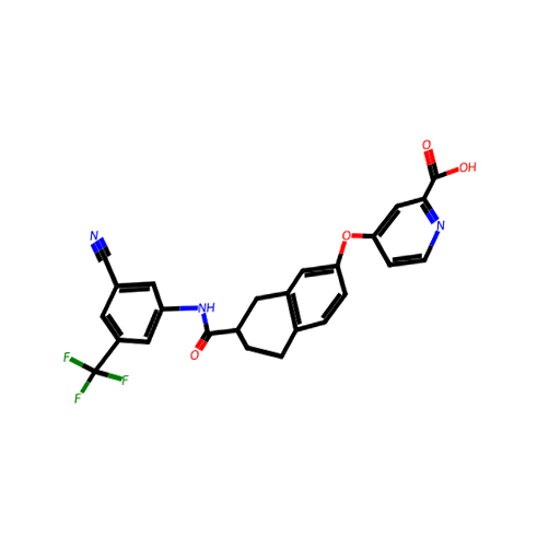 N#Cc1cc(NC(=O)C2CCc3ccc(Oc4ccnc(C(=O)O)c4)cc3C2)cc(C(F)(F)F)c1